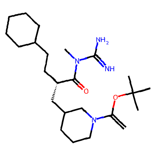 C=C(OC(C)(C)C)N1CCCC(C[C@H](CCC2CCCCC2)C(=O)N(C)C(=N)N)C1